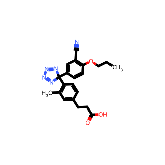 CCCOc1ccc(C2(c3ccc(CCC(=O)O)cc3C)N=NN=N2)cc1C#N